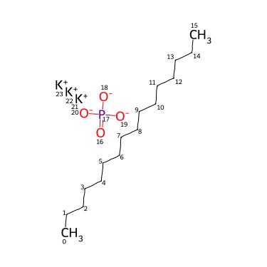 CCCCCCCCCCCCCCCC.O=P([O-])([O-])[O-].[K+].[K+].[K+]